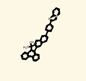 CC1(C)c2cc3cc(-c4ccc(-c5cn6ccccc6n5)cc4)ccc3cc2-c2c1c1ccccc1c1ccccc21